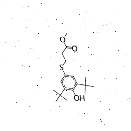 COC(=O)CCSc1cc(C(C)(C)C)c(O)c(C(C)(C)C)c1